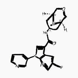 CN1[C@@H]2COC[C@H]1C[C@@H](NC(=O)c1cn(-c3cccnc3)c3ncc(F)cc13)C2